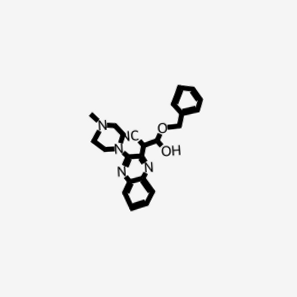 CN1CCN(c2nc3ccccc3nc2C(C#N)C(O)OCc2ccccc2)CC1